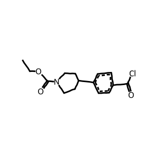 CCOC(=O)N1CCC(c2ccc(C(=O)Cl)cc2)CC1